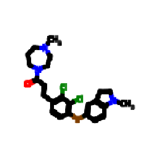 CN1CCCN(C(=O)C=Cc2ccc(Sc3ccc4c(ccn4C)c3)c(Cl)c2Cl)CC1